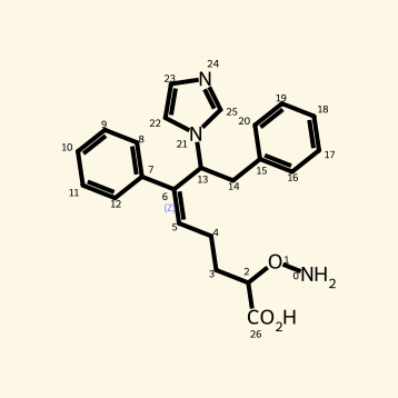 NOC(CC/C=C(/c1ccccc1)C(Cc1ccccc1)n1ccnc1)C(=O)O